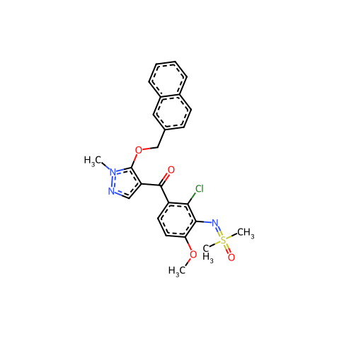 COc1ccc(C(=O)c2cnn(C)c2OCc2ccc3ccccc3c2)c(Cl)c1N=S(C)(C)=O